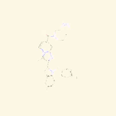 Cc1c(-c2cc3cc(F)ccc3n2Cc2ccc(F)cc2)nc2cc(C(=O)N3CCC[C@@H](N)C3)ccn12